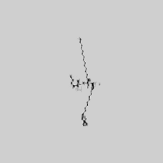 CCCCCCCCCCCCCCC[C@@H](O)[C@H](COC1OC(CO)C(O)C(O)C1O)N=S(C)(=O)CCCCCCCCCCN1CC2(COC2)C1